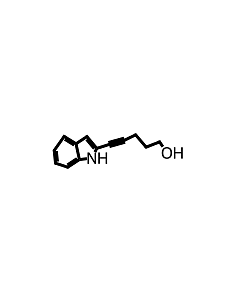 OCCCC#Cc1cc2ccccc2[nH]1